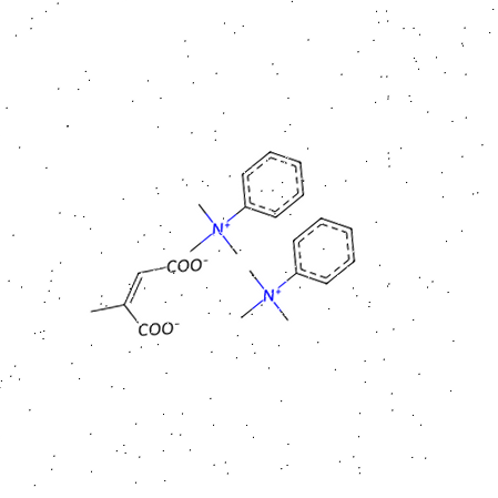 C/C(=C/C(=O)[O-])C(=O)[O-].C[N+](C)(C)c1ccccc1.C[N+](C)(C)c1ccccc1